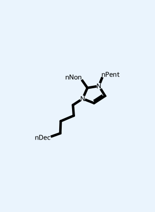 CCCCCCCCCCCCCCN1C=CN(CCCCC)C1CCCCCCCCC